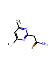 Cc1cc(C)nc(CC(N)=S)n1